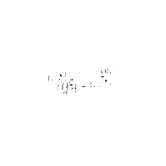 COc1cc(NC(=O)C(C)(C)n2cc(C#CC3CN(c4ccc5c(c4)C(=O)N(C4CCC(=O)NC4=O)C5=O)C3)cn2)ccc1C#N